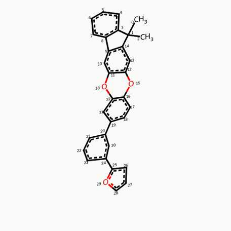 CC1(C)c2ccccc2-c2cc3c(cc21)Oc1ccc(-c2cccc(-c4ccco4)c2)cc1O3